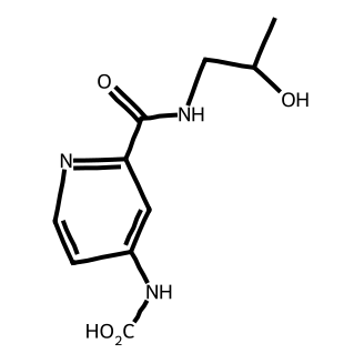 CC(O)CNC(=O)c1cc(NC(=O)O)ccn1